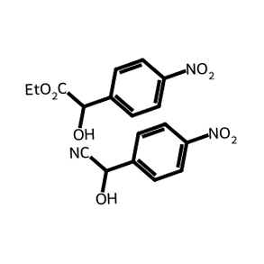 CCOC(=O)C(O)c1ccc([N+](=O)[O-])cc1.N#CC(O)c1ccc([N+](=O)[O-])cc1